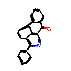 O=C1c2ccccc2-c2cccc3c(-c4ccccc4)ncc1c23